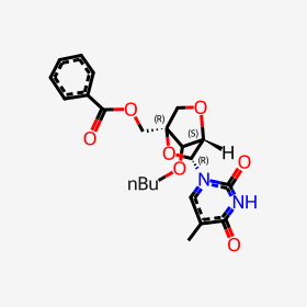 CCCCOC1[C@@H]2OC[C@]1(COC(=O)c1ccccc1)O[C@H]2n1cc(C)c(=O)[nH]c1=O